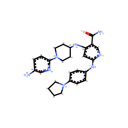 NC(=O)c1cnc(Nc2ccc(N3CCCC3)cc2)cc1NC1CCN(c2ccc(N)cn2)CC1